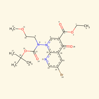 CCOC(=O)c1cn(N(CCOC)C(=O)OC(C)(C)C)c2ncc(Br)cc2c1=O